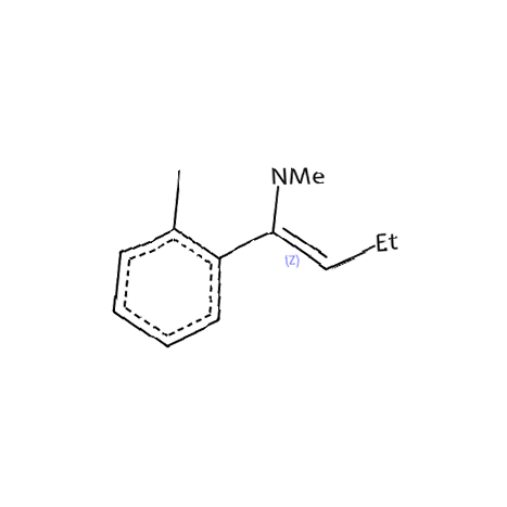 CC/C=C(\NC)c1ccccc1C